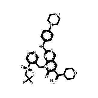 C=C(c1cc2cnc(Nc3ccc(N4CCNCC4)cc3)nc2n(Cc2cnncc2S(=O)(=O)CC(F)(F)F)c1=O)C1CCOCC1